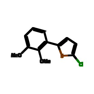 COc1cc[c]c(-c2ccc(Cl)s2)c1OC